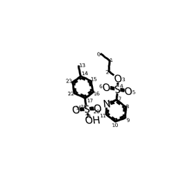 CCCOS(=O)(=O)c1ccccn1.Cc1ccc(S(=O)(=O)O)cc1